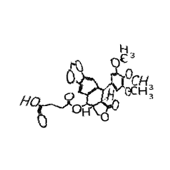 COc1cc([C@@H]2c3cc4c(cc3[C@H](OC(=O)CCC(=O)O)[C@H]3COC(=O)[C@H]23)OCO4)cc(OC)c1OC